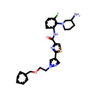 NC1CCCN(c2c(F)cccc2NC(=O)c2csc(-c3cnn(CCOCc4ccccc4)c3)n2)C1